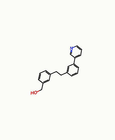 OCc1cccc(CCc2cccc(-c3cccnc3)c2)c1